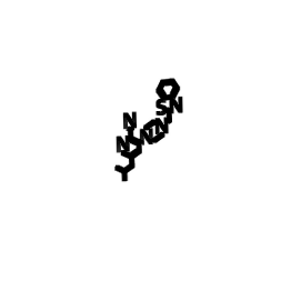 CC(C)Cc1cnc(C#N)c(N2CCN(Cc3nc4ccccc4s3)CC2)c1